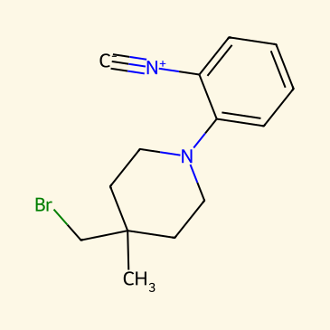 [C-]#[N+]c1ccccc1N1CCC(C)(CBr)CC1